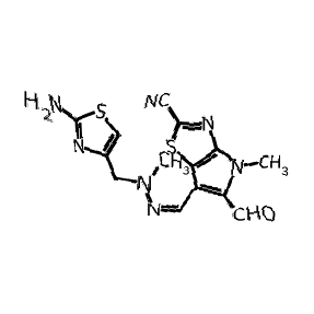 CN(Cc1csc(N)n1)/N=C\c1c(C=O)n(C)c2nc(C#N)sc12